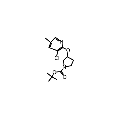 Cc1cnc(OC2CCN(C(=O)OC(C)(C)C)C2)c(Cl)c1